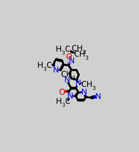 Cc1ccc(/C(=N\OC(C)(C)C)C2CCC(N(C)c3c(C#N)c(=O)n(C)c4ccc(C#N)nc34)CC2)c(C)n1